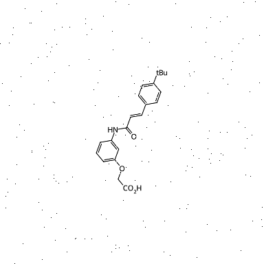 CC(C)(C)c1ccc(C=CC(=O)Nc2cccc(OCC(=O)O)c2)cc1